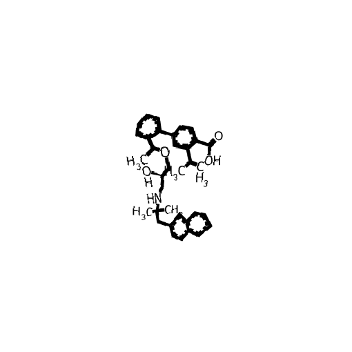 CC(C)c1cc(-c2ccccc2C(C)OC[C@H](O)CNC(C)(C)Cc2ccc3ccccc3c2)ccc1C(=O)O